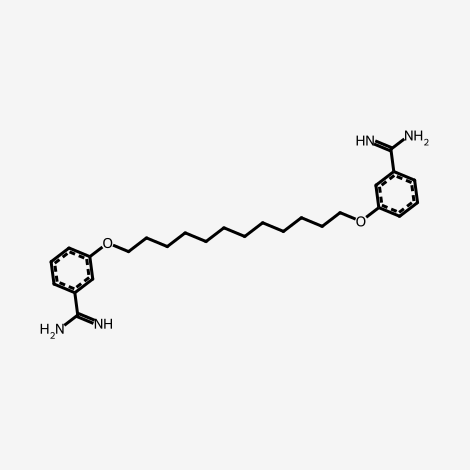 N=C(N)c1cccc(OCCCCCCCCCCCCOc2cccc(C(=N)N)c2)c1